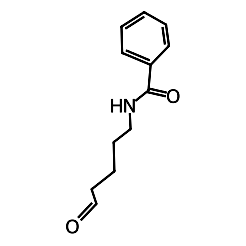 O=CCCCCNC(=O)c1ccccc1